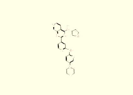 c1cc2c(N[C@@H]3CCNC3)nc(-c3ccnc(Nc4ccc(N5CCOCC5)cn4)c3)nc2cn1